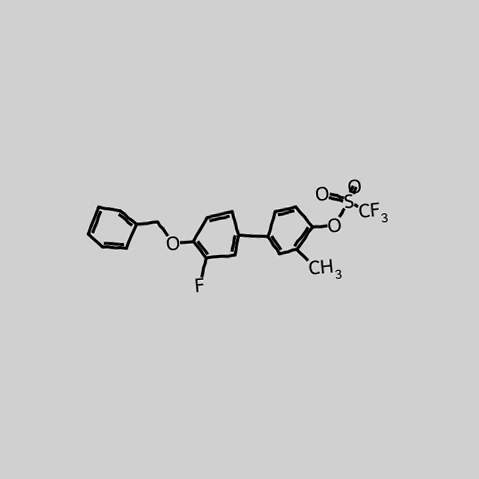 Cc1cc(-c2ccc(OCc3ccccc3)c(F)c2)ccc1OS(=O)(=O)C(F)(F)F